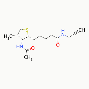 C#CCNC(=O)CCCC[C@H]1SC[C@@H](C)[C@H]1NC(C)=O